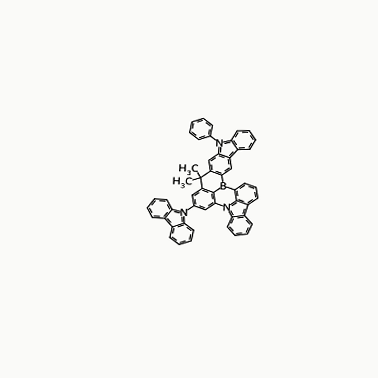 CC1(C)c2cc3c(cc2B2c4c(cc(-n5c6ccccc6c6ccccc65)cc41)-n1c4ccccc4c4cccc2c41)c1ccccc1n3-c1ccccc1